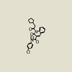 CCN(C(=O)c1cc2ccccc2n(C(=O)CC2CCCC2)c1=O)c1ccc(Cl)cc1